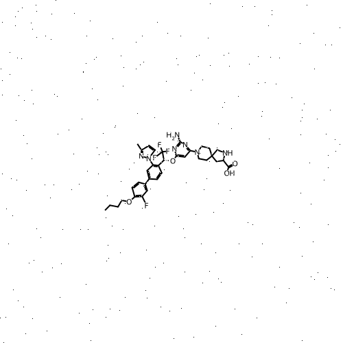 CCCCOc1ccc(-c2ccc([C@@H](Oc3cc(N4CCC5(CC4)CNC(C(=O)O)C5)nc(N)n3)C(F)(F)F)c(-n3ccc(C)n3)c2)cc1F